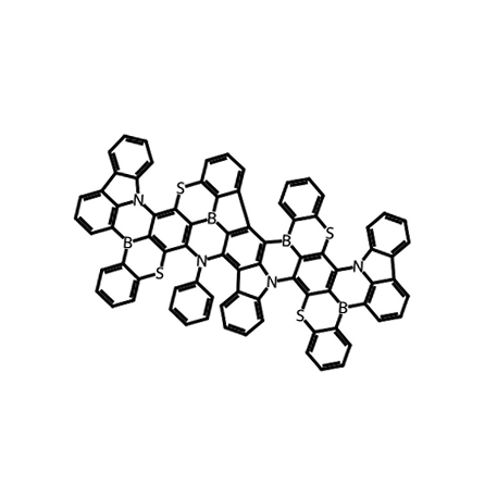 c1ccc(N2c3c4c5c(c6c3B3c7c(cccc7-c7c3c2c2c3ccccc3n3c2c7B2c7ccccc7Sc7c2c-3c2c3c7-n7c8ccccc8c8cccc(c87)B3c3ccccc3S2)S6)-n2c3ccccc3c3cccc(c32)B5c2ccccc2S4)cc1